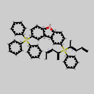 C=C/C=C(\C)S(C(=C)/C=C\C)(c1ccccc1)c1ccc2oc3ccc(S(c4ccccc4)(c4ccccc4)c4ccccc4)cc3c2c1